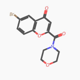 O=C(c1cc(=O)c2cc(Br)ccc2o1)N1CCOCC1